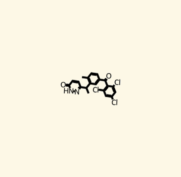 Cc1ccc(C(=O)c2c(Cl)cc(Cl)cc2Cl)cc1C(C)c1ccc(=O)[nH]n1